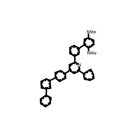 CNc1ccc(NC)c(-c2cccc(-c3cc(-c4ccc(-c5cccc(-c6ccccc6)c5)cc4)cc(-c4ccccc4)n3)c2)c1